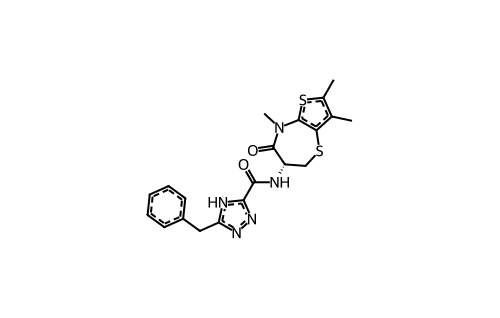 Cc1sc2c(c1C)SC[C@H](NC(=O)c1nnc(Cc3ccccc3)[nH]1)C(=O)N2C